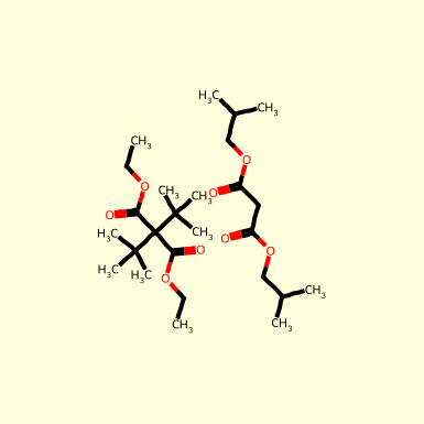 CC(C)COC(=O)CC(=O)OCC(C)C.CCOC(=O)C(C(=O)OCC)(C(C)(C)C)C(C)(C)C